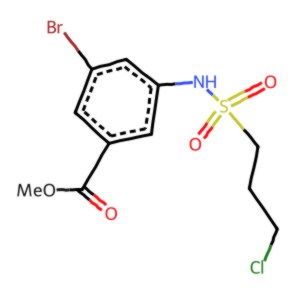 COC(=O)c1cc(Br)cc(NS(=O)(=O)CCCCl)c1